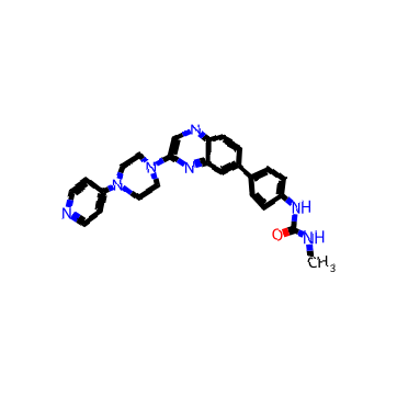 CNC(=O)Nc1ccc(-c2ccc3ncc(N4CCN(c5ccncc5)CC4)nc3c2)cc1